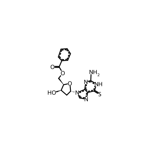 Nc1nc2c(ncn2[C@@H]2C[C@@H](O)[C@@H](COC(=O)c3ccccc3)O2)c(=S)[nH]1